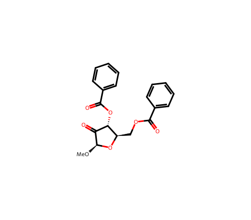 CO[C@@H]1O[C@H](COC(=O)c2ccccc2)[C@@H](OC(=O)c2ccccc2)C1=O